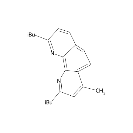 CCC(C)c1ccc2ccc3c(C)cc(C(C)CC)nc3c2n1